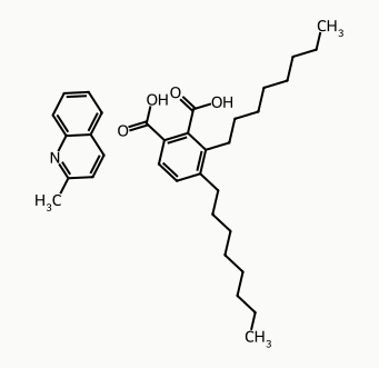 CCCCCCCCc1ccc(C(=O)O)c(C(=O)O)c1CCCCCCCC.Cc1ccc2ccccc2n1